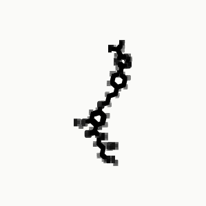 Cc1cc(OCCCC2CCN(c3nc(C(F)F)no3)CC2)ccc1C(=O)NC[C@H](O)CN